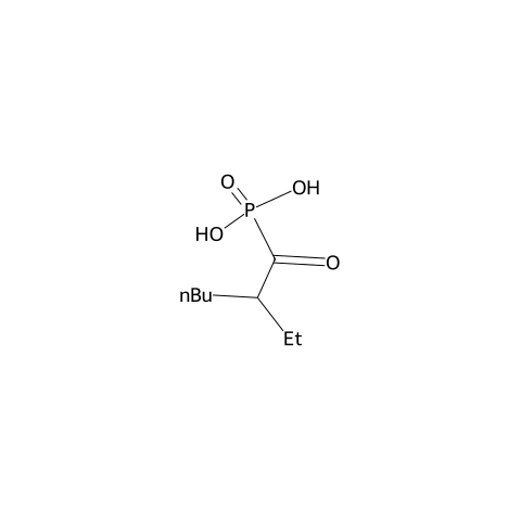 CCCCC(CC)C(=O)P(=O)(O)O